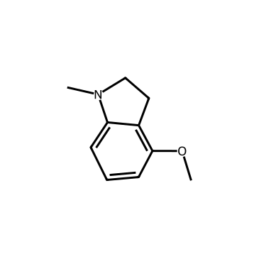 COc1cccc2c1CCN2C